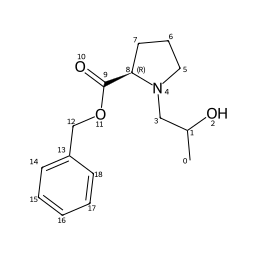 CC(O)CN1CCC[C@@H]1C(=O)OCc1ccccc1